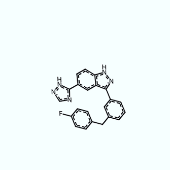 Fc1ccc(Cc2cccc(-c3n[nH]c4ccc(-c5ncn[nH]5)cc34)c2)cc1